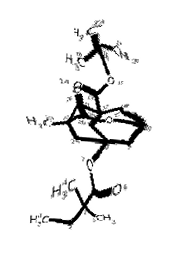 CCC(C)(C)C(=O)OC12CC3CC(C(=O)OC(C)(C)C)(C1)CC(C)(C2)C(=O)O3